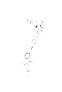 CC(C)Oc1ccc(C#Cc2ccc(N3CCN(S(=O)(=O)NC(C(=O)O)C(C)C)CC3)cc2)cc1C(=O)NCC#N